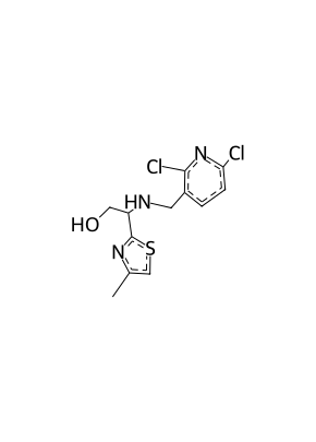 Cc1csc(C(CO)NCc2ccc(Cl)nc2Cl)n1